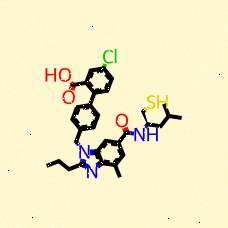 CCCc1nc2c(C)cc(C(=O)N[C@@H](CS)CC(C)C)cc2n1Cc1ccc(-c2ccc(Cl)cc2C(=O)O)cc1